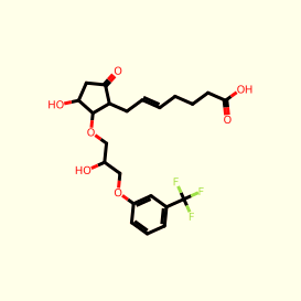 O=C(O)CCCC=CCC1C(=O)CC(O)C1OCC(O)COc1cccc(C(F)(F)F)c1